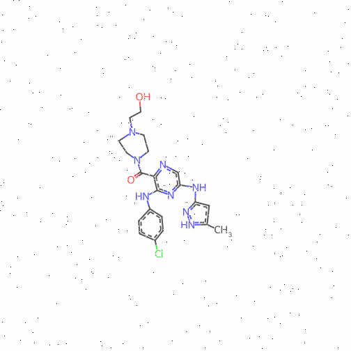 Cc1cc(Nc2cnc(C(=O)N3CCN(CCO)CC3)c(Nc3ccc(Cl)cc3)n2)n[nH]1